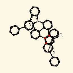 N#Cc1cccc(-n2c3ccccc3c3cc(-c4ccccc4)ccc32)c1-c1c(-c2ccc(C(F)(F)F)cc2C(F)(F)F)cccc1-n1c2ccccc2c2cc(-c3ccccc3)ccc21